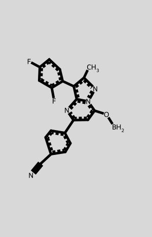 BOc1cc(-c2ccc(C#N)cc2)nc2c(-c3ccc(F)cc3F)c(C)nn12